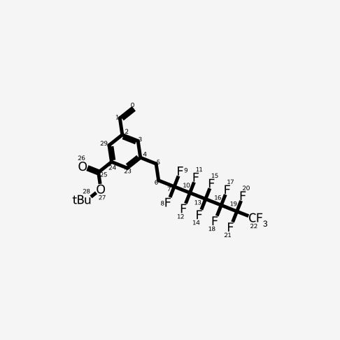 C=Cc1cc(CCC(F)(F)C(F)(F)C(F)(F)C(F)(F)C(F)(F)C(F)(F)F)cc(C(=O)OC(C)(C)C)c1